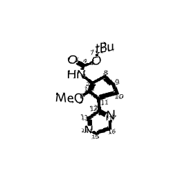 COc1c(NC(=O)OC(C)(C)C)cccc1-c1cnccn1